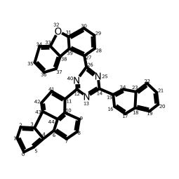 c1ccc2c(c1)-c1cccc3c(-c4nc(-c5ccc6ccccc6c5)nc(-c5cccc6oc7ccccc7c56)n4)ccc-2c13